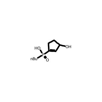 CCCCP(=O)(O)C1=CC(O)CC1